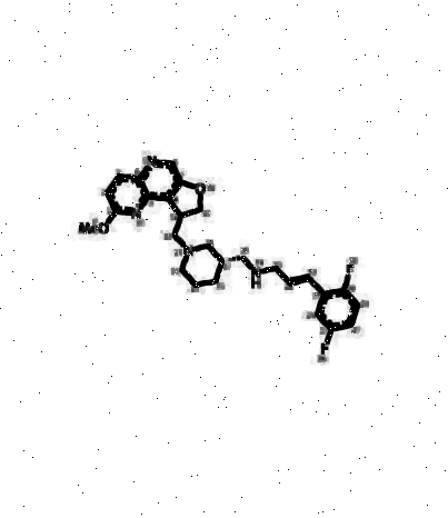 COc1ccc2ncc3c(c2n1)C(CN1CCC[C@@H](CNC/C=C/c2cc(F)ccc2F)C1)CO3